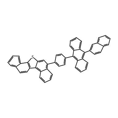 c1ccc2cc(-c3c4ccccc4c(-c4ccc(-c5cc6sc7c8ccccc8ccc7c6c6ccccc56)cc4)c4ccccc34)ccc2c1